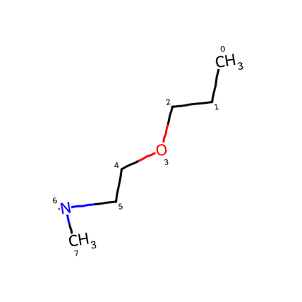 CCCOCC[N]C